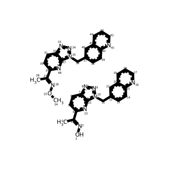 CC(=NO)c1ccc2nnn(Cc3ccc4ncccc4c3)c2n1.CON=C(C)c1ccc2nnn(Cc3ccc4ncccc4c3)c2n1